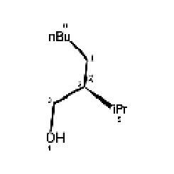 CCCCC[C@H](CO)C(C)C